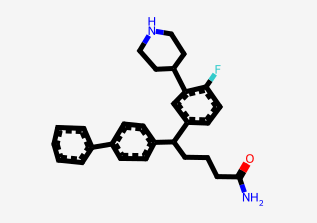 NC(=O)CCCC(c1ccc(-c2ccccc2)cc1)c1ccc(F)c(C2CCNCC2)c1